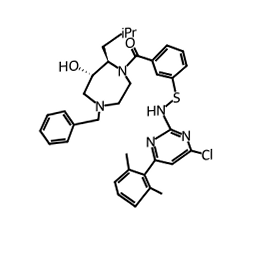 Cc1cccc(C)c1-c1cc(Cl)nc(NSc2cccc(C(=O)N3CCN(Cc4ccccc4)C[C@H](O)[C@H]3CC(C)C)c2)n1